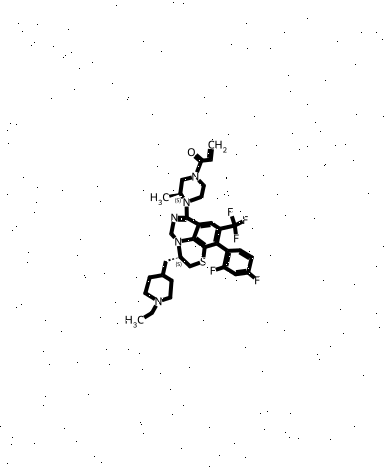 C=CC(=O)N1CCN(C2=NCN3c4c2cc(C(F)(F)F)c(-c2ccc(F)cc2F)c4SC[C@@H]3CC2CCN(CC)CC2)[C@@H](C)C1